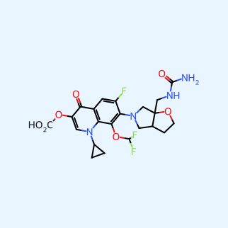 NC(=O)NCC12CN(c3c(F)cc4c(=O)c(OC(=O)O)cn(C5CC5)c4c3OC(F)F)CC1CCO2